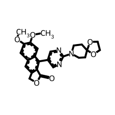 COc1cc2cc3c(c(-c4cnc(N5CCC6(CC5)OCCO6)nc4)c2cc1OC)C(=O)OC3